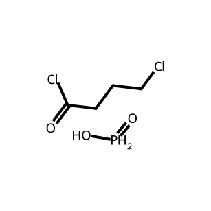 O=C(Cl)CCCCl.O=[PH2]O